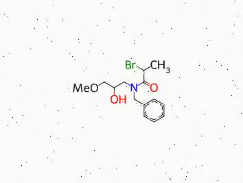 COCC(O)CN(Cc1ccccc1)C(=O)C(C)Br